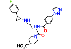 O=C(N[C@@H](CCCN[C@@H]1C[C@H]1c1ccc(F)cc1)C(=O)N1CCC(C(=O)O)CC1)c1ccc(-n2ccnn2)cc1